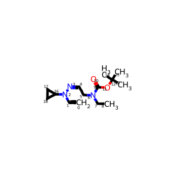 C=CN(/N=C\CN(CC)C(=O)OC(C)(C)C)C1CC1